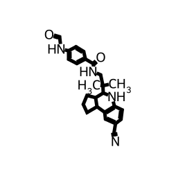 CC(C)(CNC(=O)c1ccc(NC=O)cc1)C1Nc2ccc(C#N)cc2C2CCCC21